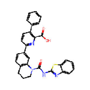 O=C(O)c1nc(-c2ccc3c(c2)N(C(=O)Nc2nc4ccccc4s2)CCC3)ccc1-c1ccccc1